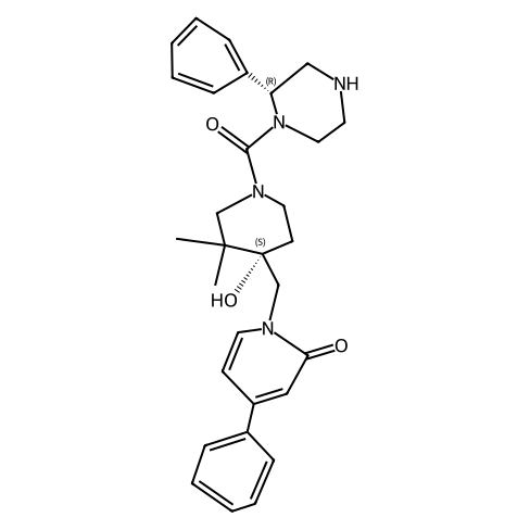 CC1(C)CN(C(=O)N2CCNC[C@H]2c2ccccc2)CC[C@@]1(O)Cn1ccc(-c2ccccc2)cc1=O